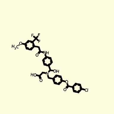 COc1ccc(CC(=O)Nc2ccc(C(O)N(CC(=O)O)Cc3ccc(OC(=O)c4ccc(Cl)cc4)cc3)cc2)c(C(F)(F)F)c1